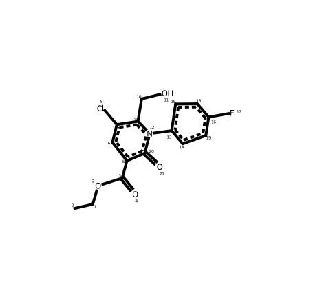 CCOC(=O)c1cc(Cl)c(CO)n(-c2ccc(F)cc2)c1=O